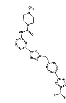 CN1CCN(C(=O)Nc2cccc(-c3cn(Cc4ccc(-c5nnc(C(F)F)o5)cc4)nn3)c2)CC1